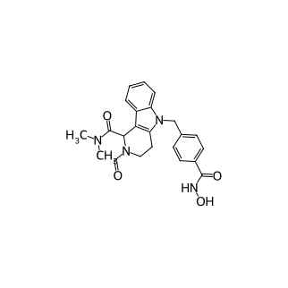 CN(C)C(=O)C1c2c(n(Cc3ccc(C(=O)NO)cc3)c3ccccc23)CCN1C=O